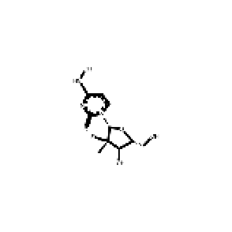 C[C@]1(F)[C@H](O)[C@@H](CO)O[C@H]1n1ccc(NO)nc1=O